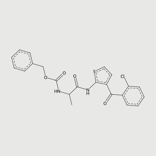 CC(NC(=O)OCc1ccccc1)C(=O)Nc1sccc1C(=O)c1ccccc1Cl